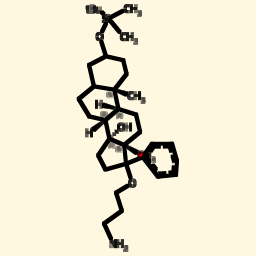 CC(C)(C)[Si](C)(C)OC1CC[C@@]2(C)C(CC[C@@H]3[C@H]2CC[C@]2(C)C(OCCCN)(c4ccccc4)CC[C@@]32O)C1